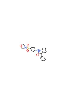 O=C(Nc1ccc(S(=O)(=O)N2CCOCC2)cc1)C(c1ccccc1)c1ccccc1